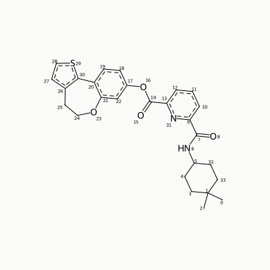 CC1(C)CCC(NC(=O)c2cccc(C(=O)Oc3ccc4c(c3)OCCc3ccsc3-4)n2)CC1